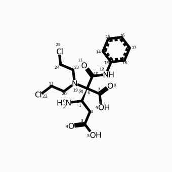 NC(CC(=O)O)[C@](C(=O)O)(C(=O)Nc1ccccc1)N(CCCl)CCCl